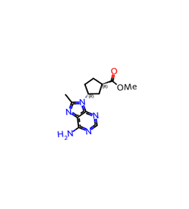 COC(=O)[C@@H]1CC[C@@H](n2c(C)nc3c(N)ncnc32)C1